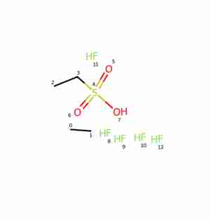 CC.CCS(=O)(=O)O.F.F.F.F.F